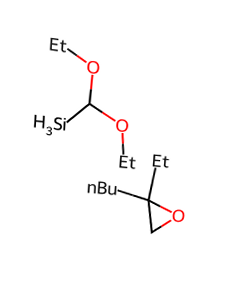 CCCCC1(CC)CO1.CCOC([SiH3])OCC